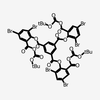 CC(C)(C)OC(=O)OC(=O)c1cc(Br)cc(Br)c1OC(=O)c1cc(C(=O)Oc2c(Br)cc(Br)cc2C(=O)OC(=O)OC(C)(C)C)cc(C(=O)Oc2c(Br)cc(Br)cc2C(=O)OC(=O)OC(C)(C)C)c1